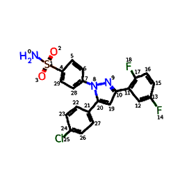 NS(=O)(=O)c1ccc(-n2nc(-c3cc(F)ccc3F)cc2-c2ccc(Cl)cc2)cc1